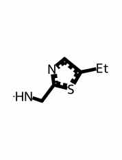 CCc1cnc(C[NH])s1